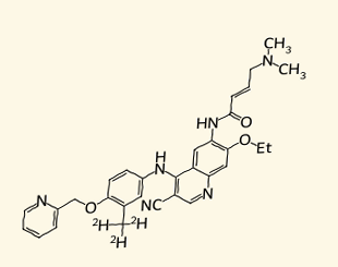 [2H]C([2H])([2H])c1cc(Nc2c(C#N)cnc3cc(OCC)c(NC(=O)/C=C/CN(C)C)cc23)ccc1OCc1ccccn1